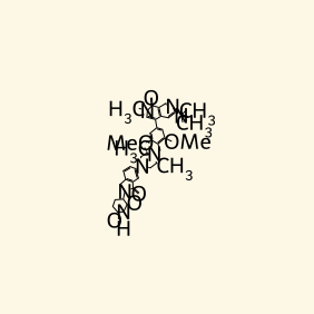 COc1cc(-c2cn(C)c(=O)c3cnc(N(C)C)cc23)cc(OC)c1CN1[C@H](C)CN(c2ccc3c(c2)C(=O)N(C2CCC(=O)NC2=O)C3)C[C@H]1C